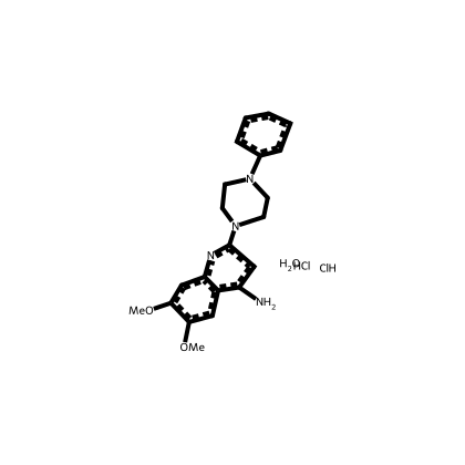 COc1cc2nc(N3CCN(c4ccccc4)CC3)cc(N)c2cc1OC.Cl.Cl.O